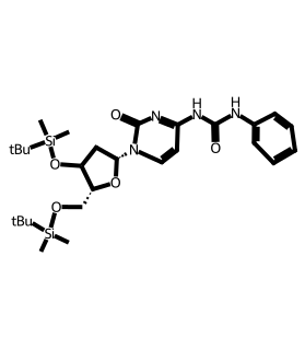 CC(C)(C)[Si](C)(C)OC[C@H]1O[C@@H](n2ccc(NC(=O)Nc3ccccc3)nc2=O)CC1O[Si](C)(C)C(C)(C)C